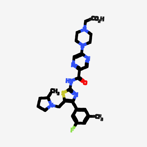 CC1CCCN1Cc1sc(NC(=O)c2cnc(N3CCN(CC(=O)O)CC3)cn2)nc1-c1cc(F)cc(C(F)(F)F)c1